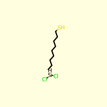 SCCCCCCCCC[SiH](Cl)Cl